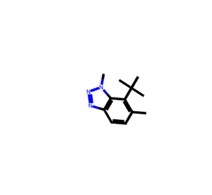 Cc1ccc2nnn(C)c2c1C(C)(C)C